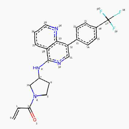 C=CC(=O)N1CCC(Nc2ncc(-c3ccc(C(F)(F)F)cc3)c3ncccc23)C1